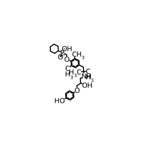 Cc1cc(CC(C)(C)NCC(O)COc2ccc(O)cc2)cc(C)c1OC[P@@](=O)(O)C1CCCCC1